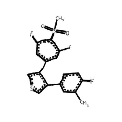 Cc1cc(-c2cscc2-c2cc(F)c(S(C)(=O)=O)c(F)c2)ccc1F